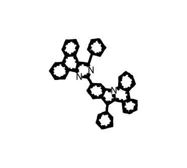 c1ccc(-c2nc(-c3ccc4c(-c5ccccc5)c5c6ccccc6c6ccccc6n5c4c3)nc3c4ccccc4c4ccccc4c23)cc1